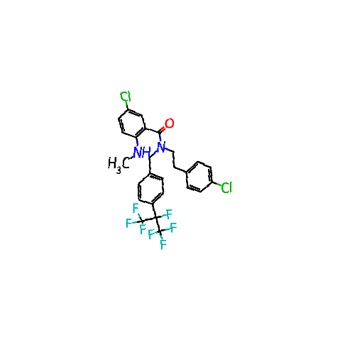 CNc1ccc(Cl)cc1C(=O)N(CCc1ccc(Cl)cc1)Cc1ccc(C(F)(C(F)(F)F)C(F)(F)F)cc1